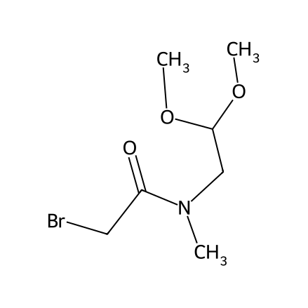 COC(CN(C)C(=O)CBr)OC